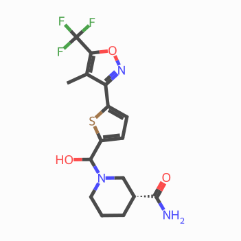 Cc1c(-c2ccc(C(O)N3CCC[C@@H](C(N)=O)C3)s2)noc1C(F)(F)F